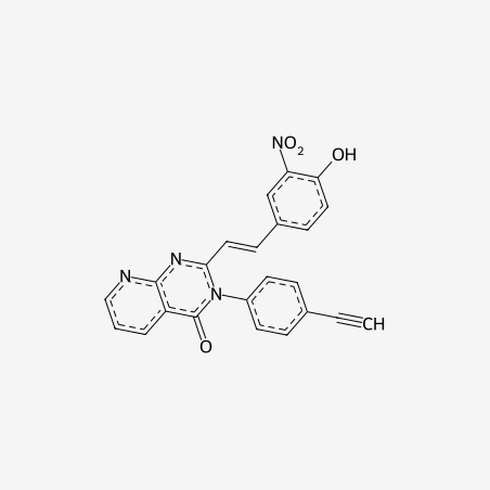 C#Cc1ccc(-n2c(/C=C/c3ccc(O)c([N+](=O)[O-])c3)nc3ncccc3c2=O)cc1